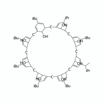 CCC(C)C1=CC2CC3=CC(C(C)C)=CC(CC4=CC(C(C)CC)=CC(CC5C=C(C(C)C(C)C)C=C(CC6C=C(C(C)CC)C=C(CC7=CC(C(C)CC)=CC(CC8C=C(C(C)CC)C=C(CC9C=C(C(C)CC)C=C(CC(=C1)C2O)C9O)C8O)C7O)C6O)C5O)C4O)C3O